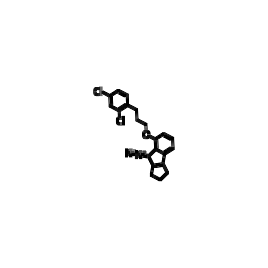 [N-]=[N+]=C1C2=C(CCC2)c2cccc(OCCCc3ccc(Cl)cc3Cl)c21